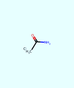 CC(N)=O.[C]